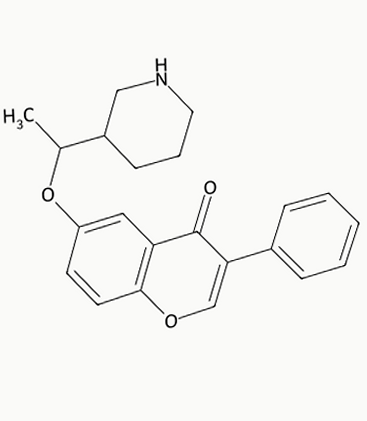 CC(Oc1ccc2occ(-c3ccccc3)c(=O)c2c1)C1CCCNC1